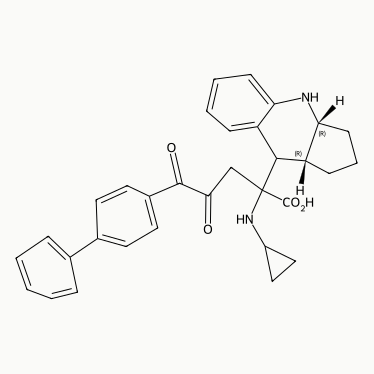 O=C(CC(NC1CC1)(C(=O)O)C1c2ccccc2N[C@@H]2CCC[C@H]12)C(=O)c1ccc(-c2ccccc2)cc1